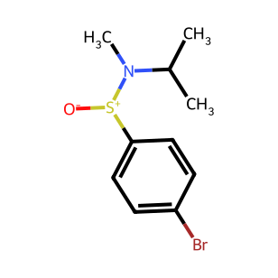 CC(C)N(C)[S+]([O-])c1ccc(Br)cc1